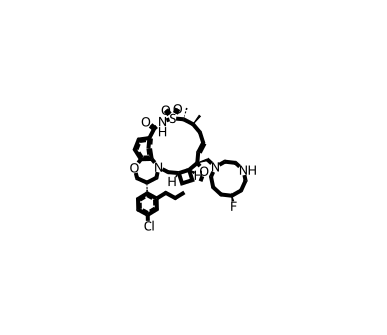 CCCc1cc(Cl)ccc1[C@@H]1COc2ccc3cc2N(C1)C[C@@H]1CC[C@H]1[C@@](CN1CCC[C@H](F)CCNCC1)(OC)/C=C/C[C@H](C)[C@@H](C)S(=O)(=O)NC3=O